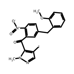 COc1ccccc1Cc1ccc([N+](=O)[O-])c(C(=O)c2c(I)cnn2C)c1